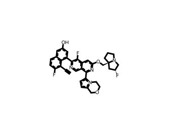 C#Cc1c(F)ccc2cc(O)cc(-c3ncc4c(-c5ccc6n5CCOC6)nc(OC[C@@]56CCCN5C[C@H](F)C6)cc4c3F)c12